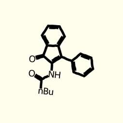 CCCCC(=O)NC1=C(c2ccccc2)c2ccccc2C1=O